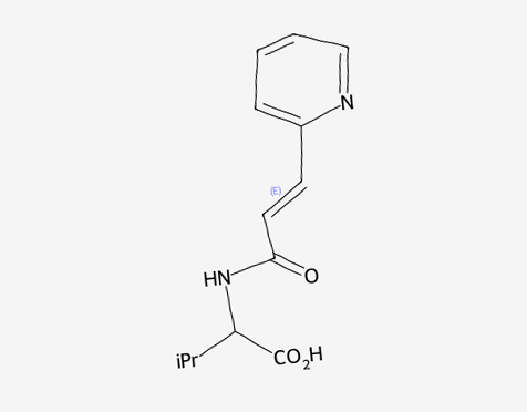 CC(C)C(NC(=O)/C=C/c1ccccn1)C(=O)O